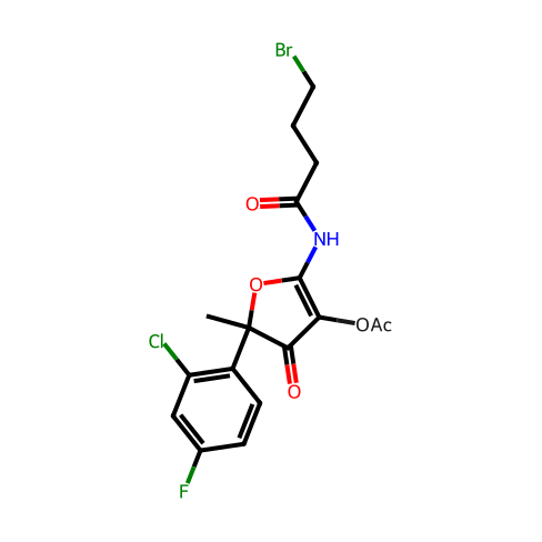 CC(=O)OC1=C(NC(=O)CCCBr)OC(C)(c2ccc(F)cc2Cl)C1=O